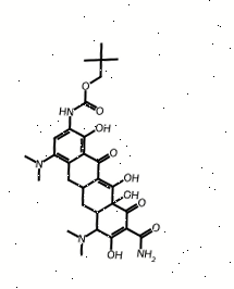 CN(C)c1cc(NC(=O)OCC(C)(C)C)c(O)c2c1CC1CC3C(N(C)C)C(O)=C(C(N)=O)C(=O)C3(O)C(O)=C1C2=O